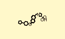 O=C(O)[C@@H]1CCN(Cc2ccc3cc(OC4CCC(C5CCCC5)CC4)ccc3c2)C1